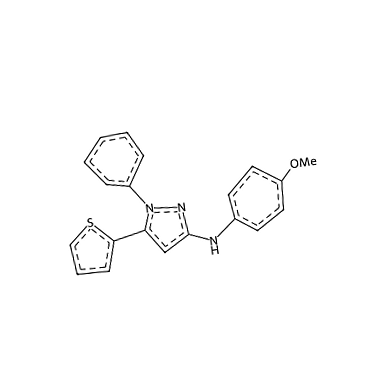 COc1ccc(Nc2cc(-c3cccs3)n(-c3ccccc3)n2)cc1